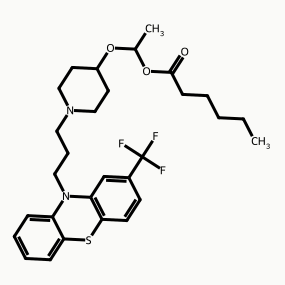 CCCCCC(=O)OC(C)OC1CCN(CCCN2c3ccccc3Sc3ccc(C(F)(F)F)cc32)CC1